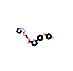 O=C(OCCOC(=O)[C@@H]1CCCN1)c1cccc(-c2ccc(Oc3ccc(F)cc3)cc2)n1